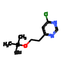 CC(C)(C)[Si](C)(C)OCCc1cc(Cl)ncn1